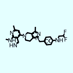 CNc1nc(C)cc(N2CCc3c(c(C)nn3CC34CCC(NCC(F)F)(CC3)CC4)C2)c1C=N